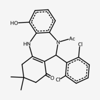 CC(=O)N1c2cccc(O)c2NC2=C(C(=O)CC(C)(C)C2)C1c1c(Cl)cccc1Cl